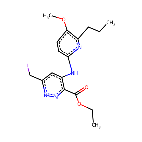 CCCc1nc(Nc2cc(CI)nnc2C(=O)OCC)ccc1OC